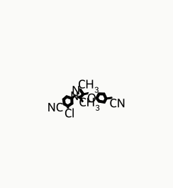 Cc1nn(-c2ccc(C#N)c(Cl)c2)c(C)c1COc1ccc(CC#N)cc1